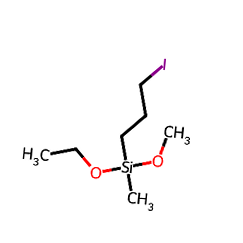 CCO[Si](C)(CCCI)OC